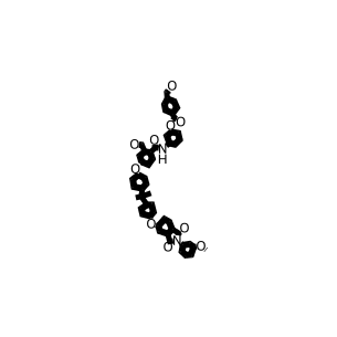 COc1cccc(N2C(=O)c3ccc(Oc4ccc(C(C)(C)c5ccc(Oc6ccc(C(=O)Nc7cccc(OC(=O)c8ccc(C=O)cc8)c7)c(C=O)c6)cc5)cc4)cc3C2=O)c1